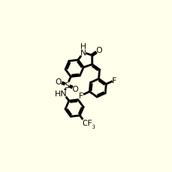 O=C1Nc2ccc(S(=O)(=O)Nc3ccc(C(F)(F)F)cc3)cc2C1=Cc1cc(F)ccc1F